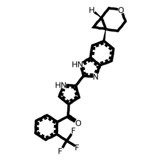 O=C(c1c[nH]c(-c2nc3ccc([C@]45CCOC[C@H]4C5)cc3[nH]2)c1)c1ccccc1C(F)(F)F